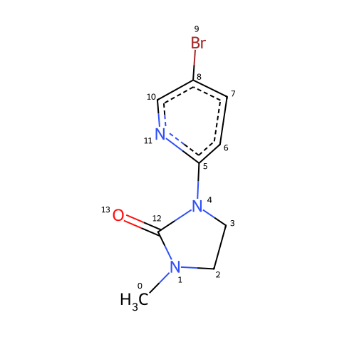 CN1CCN(c2ccc(Br)cn2)C1=O